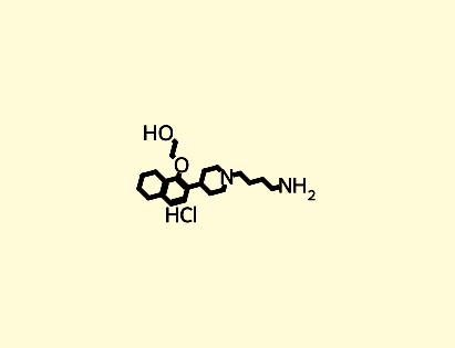 Cl.NCCCCN1CCC(c2ccc3c(c2OCCO)CCCC3)CC1